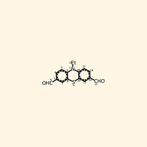 CCN1c2ccc(C=O)cc2Sc2cc(C=O)ccc21